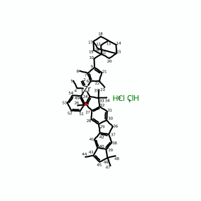 Cl.Cl.[CH2]=[Zr]([CH2]C)([C]1=C(C)C(CC23CC4CC(CC(C4)C2)C3)=CC1C)([C]1=C(C)c2cc3c(cc2C1(C)C)Cc1cc2c(cc1-3)C(C)=CC2(C)C)[c]1ccccc1